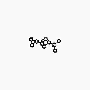 c1ccc(-c2cc(-c3cccc(-c4cccc5nc(-c6ccc7c8ccccc8c8ccccc8c7c6)c6oc7ccccc7c6c45)c3)nc(-c3ccccc3)n2)cc1